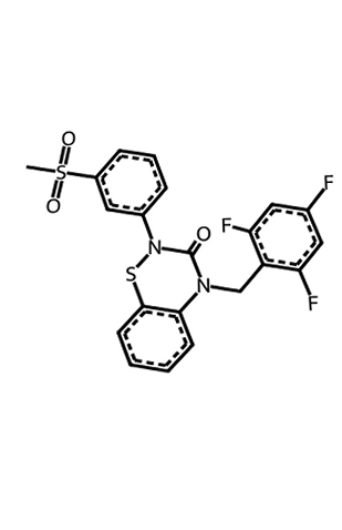 CS(=O)(=O)c1cccc(N2Sc3ccccc3N(Cc3c(F)cc(F)cc3F)C2=O)c1